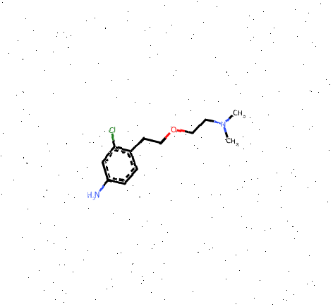 CN(C)CCOCCc1ccc(N)cc1Cl